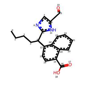 CCCCC(c1ncc(C=O)[nH]1)c1ccc(C(=O)O)c2ccccc12